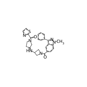 Cn1nc(-c2ccccc2)c2cc(C(=O)N3CC(N[C@H]4CCN(C(=O)c5nccs5)C4)C3)ccc21